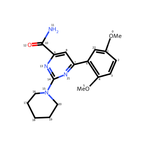 COc1ccc(OC)c(-c2cc(C(N)=O)nc(N3CCCCC3)n2)c1